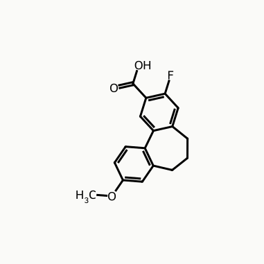 COc1ccc2c(c1)CCCc1cc(F)c(C(=O)O)cc1-2